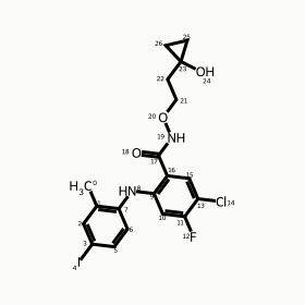 Cc1cc(I)ccc1Nc1cc(F)c(Cl)cc1C(=O)NOCCC1(O)CC1